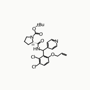 C=CCOc1ccc(Cl)c(Cl)c1C(NC(=O)[C@@H]1CCCN1C(=O)OC(C)(C)C)c1ccncc1